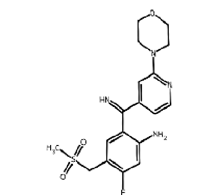 CS(=O)(=O)Cc1cc(C(=N)c2ccnc(N3CCOCC3)c2)c(N)cc1F